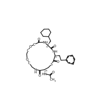 CC(=O)N[C@H]1CSC(=O)[C@H](CCc2ccccc2)NC(=O)[C@H](CC2CCCCC2)NC(=O)COCCOCCNC1=O